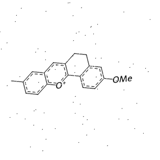 COc1ccc2c(c1)CCc1cc3cc(C)ccc3[o+]c1-2